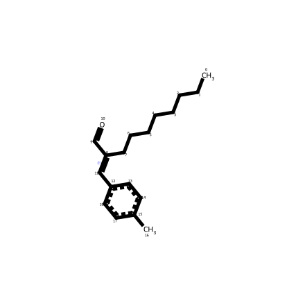 CCCCCCCC/C(C=O)=C\c1ccc(C)cc1